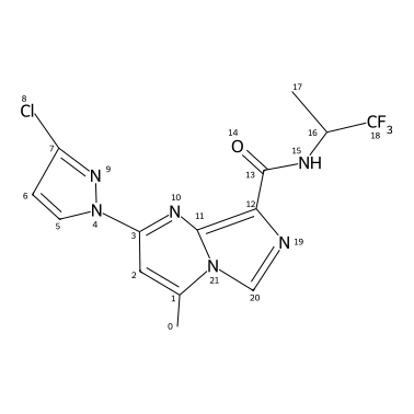 Cc1cc(-n2ccc(Cl)n2)nc2c(C(=O)NC(C)C(F)(F)F)ncn12